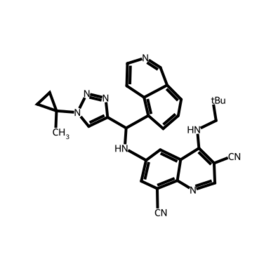 CC(C)(C)CNc1c(C#N)cnc2c(C#N)cc(NC(c3cn(C4(C)CC4)nn3)c3cccc4cnccc34)cc12